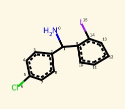 NC(c1ccc(Cl)cc1)c1ccccc1I